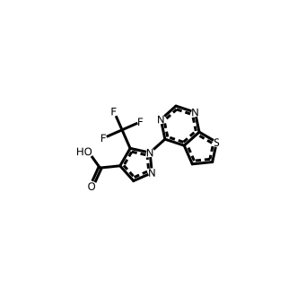 O=C(O)c1cnn(-c2ncnc3sccc23)c1C(F)(F)F